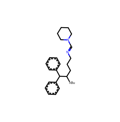 CCCCC(CCCN=CN1CCCCC1)C(c1ccccc1)c1ccccc1